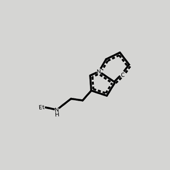 CCNCCc1cc2ccccn2c1